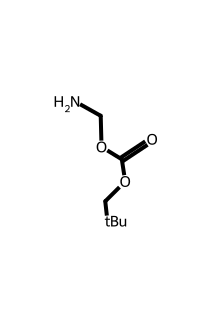 CC(C)(C)COC(=O)OCN